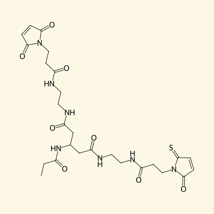 CCC(=O)NC(CC(=O)NCCNC(=O)CCN1C(=O)C=CC1=O)CC(=O)NCCNC(=O)CCN1C(=O)C=CC1=S